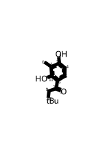 Cc1c(O)ccc(C(=O)CC(C)(C)C)c1O